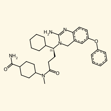 CN(C(=O)CC[C@@H](C1CCCCC1)N1Cc2cc(Oc3ccccc3)ccc2N=C1N)C1CCC(C(N)=O)CC1